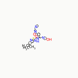 CC(C)(C)[C@H]1CCc2nc3sc(C(=O)N[C@H](CCN4CCC(O)CC4)c4cccc(C(=O)N5CC(CN6CCCC6)C5)c4)nc3cc2C1